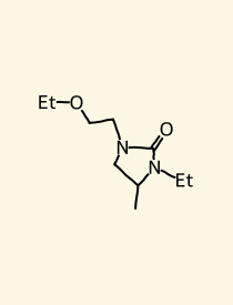 CCOCCN1CC(C)N(CC)C1=O